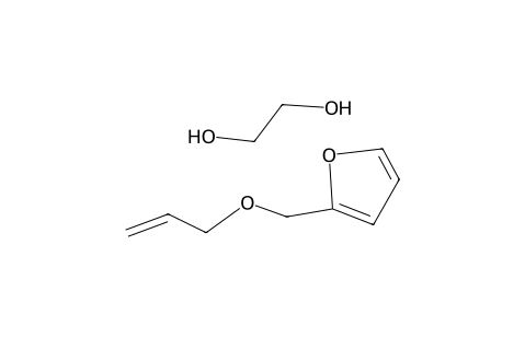 C=CCOCc1ccco1.OCCO